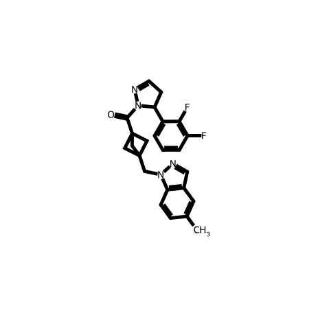 Cc1ccc2c(cnn2CC23CC(C(=O)N4N=CCC4c4cccc(F)c4F)(C2)C3)c1